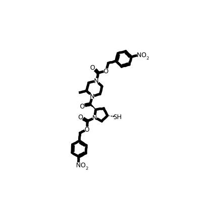 CC1CN(C(=O)OCc2ccc([N+](=O)[O-])cc2)CCN1C(=O)[C@H]1C[C@H](S)CN1C(=O)OCc1ccc([N+](=O)[O-])cc1